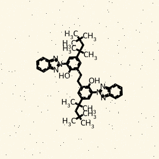 CC(C)(C)CC(C)(C)c1cc(CCc2cc(C(C)(C)CC(C)(C)C)cc(-n3nc4ccccc4n3)c2O)c(O)c(-n2nc3ccccc3n2)c1